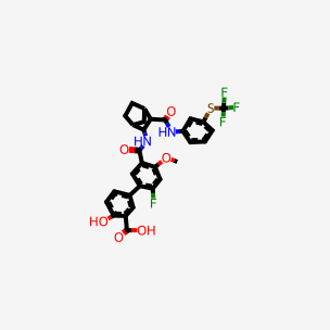 COc1cc(F)c(-c2ccc(O)c(C(=O)O)c2)cc1C(=O)NC1C2CCC(C2)C1C(=O)Nc1cccc(SC(F)(F)F)c1